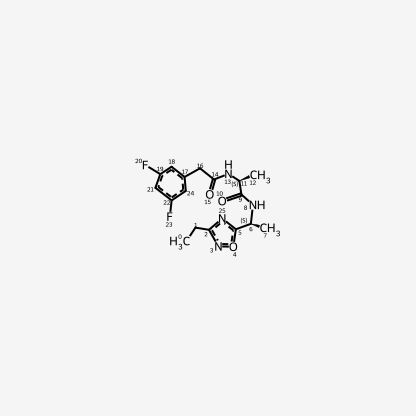 CCc1noc([C@H](C)NC(=O)[C@H](C)NC(=O)Cc2cc(F)cc(F)c2)n1